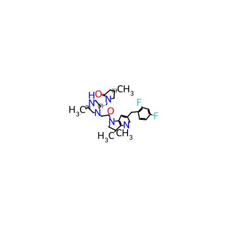 C[C@H]1CC(=O)N(C[C@H]2CN[C@H](C)CN2CC(=O)N2CC(C)(C)c3ncc(Cc4ccc(F)cc4F)cc32)C1